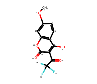 COc1ccc2c(O)c(C(=O)C(F)(F)F)c(=O)oc2c1